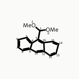 COC(OC)c1c2ccccc2cc2ccccc12